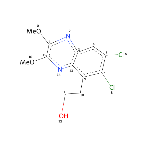 COc1nc2cc(Cl)c(Cl)c(CCO)c2nc1OC